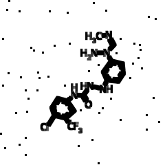 C/N=C\N(N)c1cccc(NNC(=O)Nc2ccc(Cl)c(C(F)(F)F)c2)c1